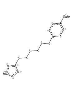 COc1ccc(CSCCCCc2nc[nH]n2)cc1